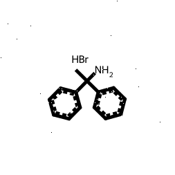 Br.CC(N)(c1ccccc1)c1ccccc1